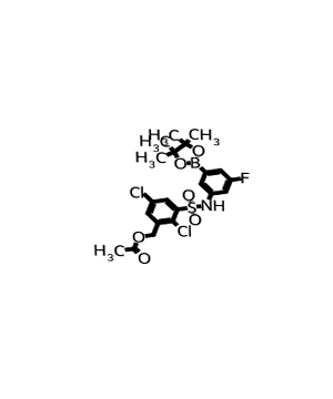 CC(=O)OCc1cc(Cl)cc(S(=O)(=O)Nc2cc(F)cc(B3OC(C)(C)C(C)(C)O3)c2)c1Cl